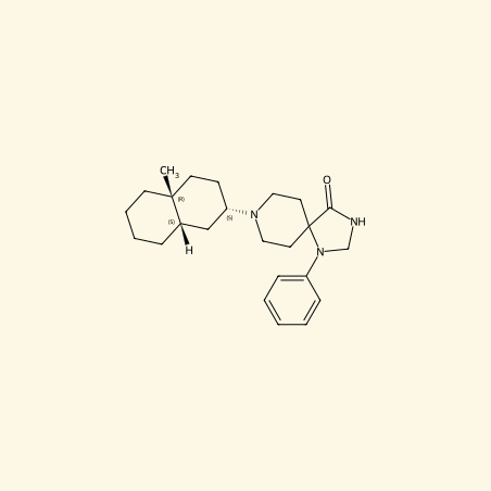 C[C@]12CCCC[C@H]1C[C@@H](N1CCC3(CC1)C(=O)NCN3c1ccccc1)CC2